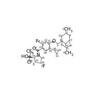 CC1CC2CC(C)CC(COc3cc(F)c(C(=O)N4C[C@H](F)C[C@H]4C(O)(C(F)(F)F)C(F)(F)F)cc3C3CC3)(C1)C2